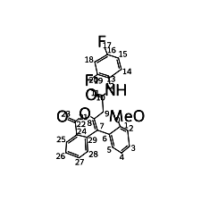 COc1ccccc1-c1c(CC(=O)Nc2ccc(F)cc2F)oc(=O)c2ccccc12